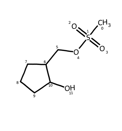 CS(=O)(=O)OCC1CCCC1O